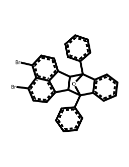 Brc1ccc2c3c(ccc(Br)c13)C1C2C2(c3ccccc3)OC1(c1ccccc1)c1ccccc12